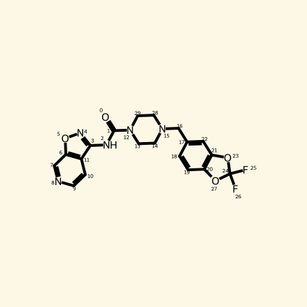 O=C(Nc1noc2cnccc12)N1CCN(Cc2ccc3c(c2)OC(F)(F)O3)CC1